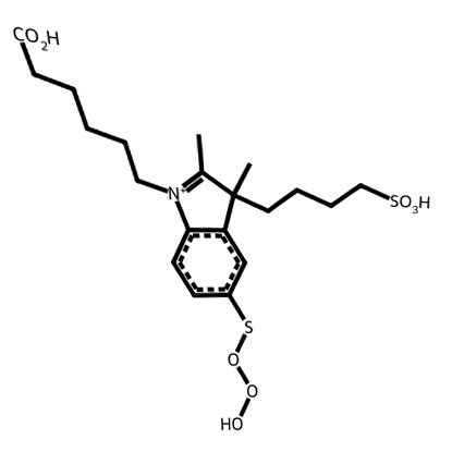 CC1=[N+](CCCCCC(=O)O)c2ccc(SOOO)cc2C1(C)CCCCS(=O)(=O)O